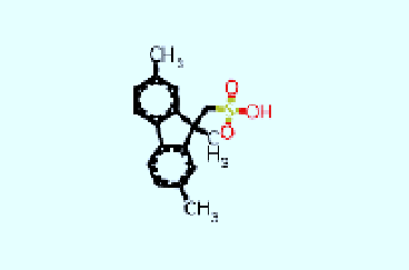 Cc1ccc2c(c1)C(C)(CS(=O)(=O)O)c1cc(C)ccc1-2